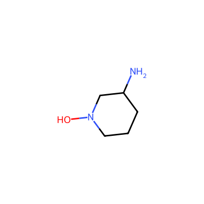 NC1CCCN(O)C1